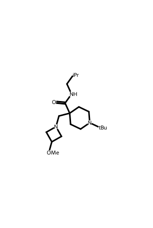 COC1CN(CC2(C(=O)NCC(C)C)CCN(C(C)(C)C)CC2)C1